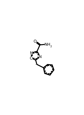 NC(=O)c1noc([CH]c2ccccc2)n1